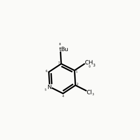 Cc1c(Cl)cncc1C(C)(C)C